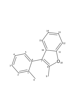 Cc1ccccc1-c1c(C)oc2ccccc12